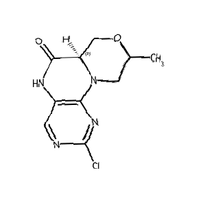 CC1CN2c3nc(Cl)ncc3NC(=O)[C@H]2CO1